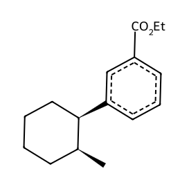 CCOC(=O)c1cccc([C@@H]2CCCC[C@@H]2C)c1